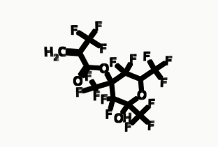 C=C(C(=O)OC1(C(F)(F)F)C(F)(F)C(C(F)(F)F)OC(O)(C(F)(F)F)C1(F)F)C(F)(F)F